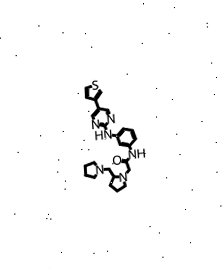 O=C(CN1CCCC1CN1CCCC1)Nc1cccc(Nc2ncc(-c3ccsc3)cn2)c1